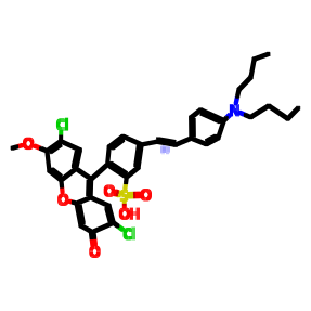 CCCCN(CCCC)c1ccc(/C=C/c2ccc(-c3c4cc(Cl)c(=O)cc-4oc4cc(OC)c(Cl)cc34)c(S(=O)(=O)O)c2)cc1